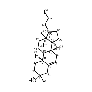 CC1(O)CC[C@H]2C(=CC[C@@H]3C2CC[C@]2(C)[C@@H](CCI)CC[C@@H]32)C1